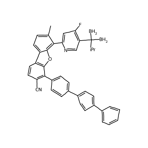 BC(B)(c1cnc(-c2c(C)ccc3c2oc2c(-c4ccc(-c5ccc(-c6ccccc6)cc5)cc4)c(C#N)ccc23)cc1F)C(C)C